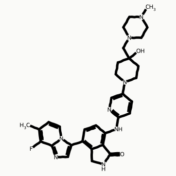 Cc1ccn2c(-c3ccc(Nc4ccc(N5CCC(O)(CN6CCN(C)CC6)CC5)cn4)c4c3CNC4=O)cnc2c1F